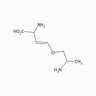 CC(N)COC=CC(N)C(=O)O